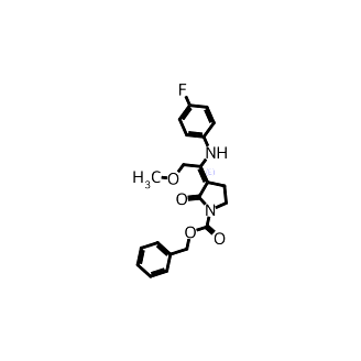 COC/C(Nc1ccc(F)cc1)=C1/CCN(C(=O)OCc2ccccc2)C1=O